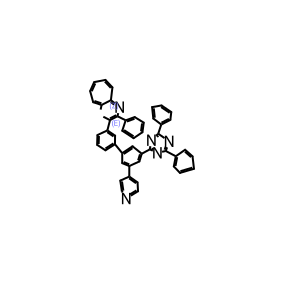 C/C(=C(\N=c1\cccccc1C)c1ccccc1)c1cccc(-c2cc(-c3ccncc3)cc(-c3nc(-c4ccccc4)nc(-c4ccccc4)n3)c2)c1